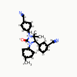 Cc1ccc(N2C(=O)N(c3ccc(C#N)cc3)C(C)(C)C2c2cccc(C#N)c2)cc1